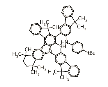 CC(C)(C)c1ccc(Nc2cc3c(cc2-c2c4c(c5c6cc7c(cc6n6c5c2Bc2cc5c(cc2-6)C(C)(C)c2ccccc2-5)C(C)(C)CCC7(C)C)-c2ccccc2C4(C)C)-c2ccccc2C3(C)C)cc1